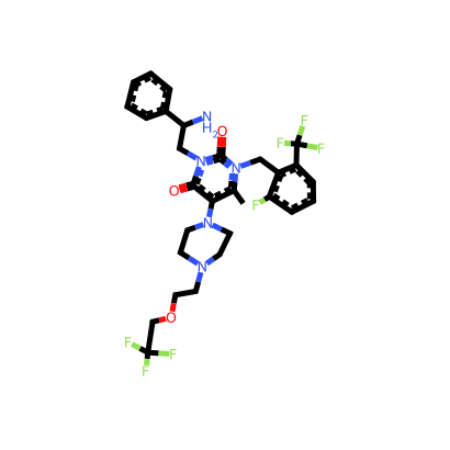 Cc1c(N2CCN(CCOCC(F)(F)F)CC2)c(=O)n(CC(N)c2ccccc2)c(=O)n1Cc1c(F)cccc1C(F)(F)F